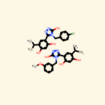 CC(C)c1cc(-c2nnc(O)n2Cc2ccc(Cl)cc2)c(O)cc1O.COc1cccc(Cn2c(O)nnc2-c2cc(C(C)C)c(O)cc2O)c1